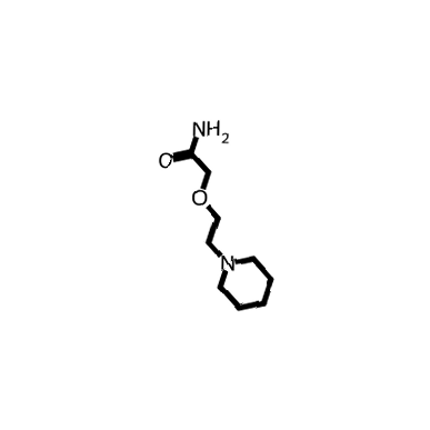 NC(=O)COCCN1CCCCC1